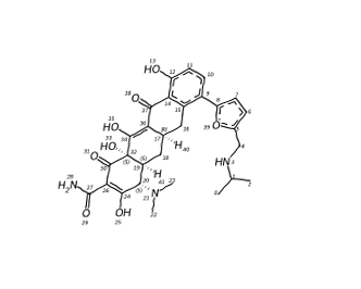 CC(C)NCc1ccc(-c2ccc(O)c3c2C[C@H]2C[C@H]4[C@H](N(C)C)C(O)=C(C(N)=O)C(=O)[C@@]4(O)C(O)=C2C3=O)o1